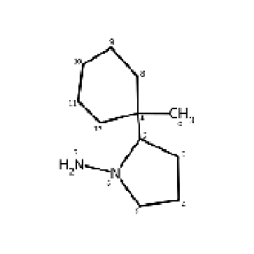 CC1(C2CCCN2N)CCCCC1